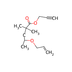 C#CCOC(=O)C(C)(C)CC(C)OCC=C